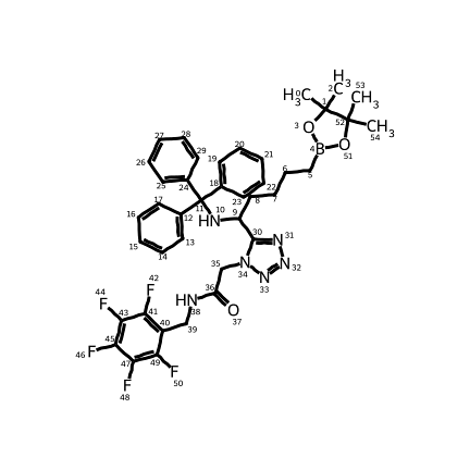 CC1(C)OB(CCCCC(NC(c2ccccc2)(c2ccccc2)c2ccccc2)c2nnnn2CC(=O)NCc2c(F)c(F)c(F)c(F)c2F)OC1(C)C